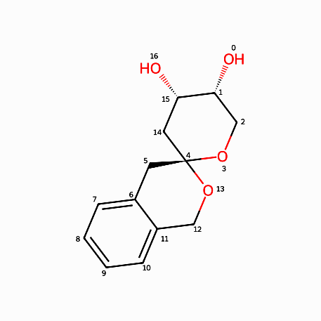 O[C@@H]1CO[C@@]2(Cc3ccccc3CO2)C[C@@H]1O